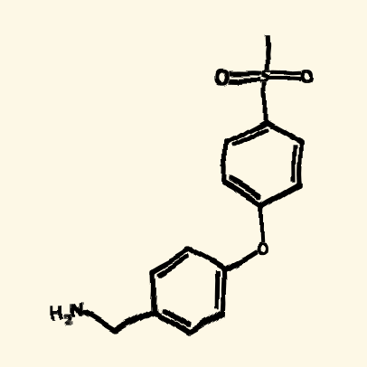 CS(=O)(=O)c1ccc(Oc2ccc(CN)cc2)cc1